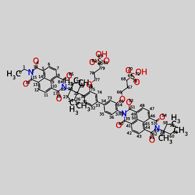 CCN1C(=O)c2ccc3c4c(ccc(c24)C1=O)C(=O)N(C(CC)(CC)C(CC)(CC)c1ccc(-c2ccc(N4C(=O)c5ccc6c7c(ccc(c57)C4=O)C(=O)N(C(C)(CC)CC)C6=O)c(OCCCS(=O)(=O)O)c2)cc1OCCCS(=O)(=O)O)C3=O